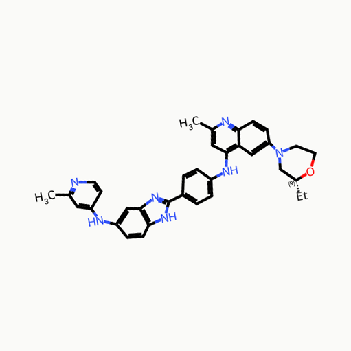 CC[C@@H]1CN(c2ccc3nc(C)cc(Nc4ccc(-c5nc6cc(Nc7ccnc(C)c7)ccc6[nH]5)cc4)c3c2)CCO1